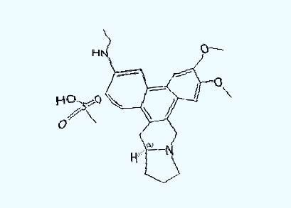 CCNc1ccc2c3c(c4cc(OC)c(OC)cc4c2c1)CN1CCC[C@H]1C3.CS(=O)(=O)O